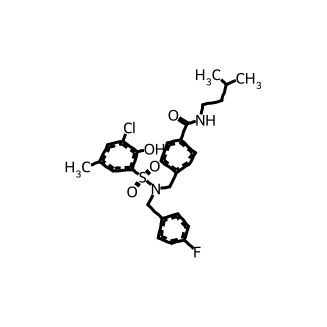 Cc1cc(Cl)c(O)c(S(=O)(=O)N(Cc2ccc(F)cc2)Cc2ccc(C(=O)NCCC(C)C)cc2)c1